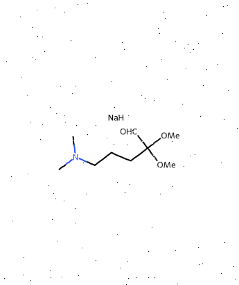 COC(C=O)(CCCN(C)C)OC.[NaH]